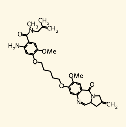 C=C(C)CN(C)C(=O)c1cc(OC)c(OCCCCCOc2cc3c(cc2OC)C(=O)N2CC(=C)CC2C=N3)cc1N